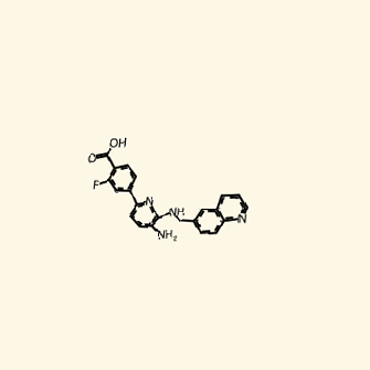 Nc1ccc(-c2ccc(C(=O)O)c(F)c2)nc1NCc1ccc2ncccc2c1